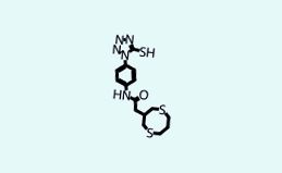 O=C(CC1CSCCCSC1)Nc1ccc(-n2nnnc2S)cc1